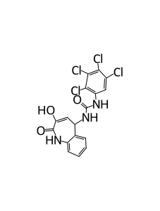 O=C(Nc1cc(Cl)c(Cl)c(Cl)c1Cl)NC1C=C(O)C(=O)Nc2ccccc21